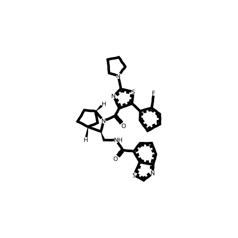 O=C(NC[C@H]1[C@@H]2CC[C@@H](C2)N1C(=O)c1nc(N2CCCC2)sc1-c1ccccc1F)c1cccc2ncsc12